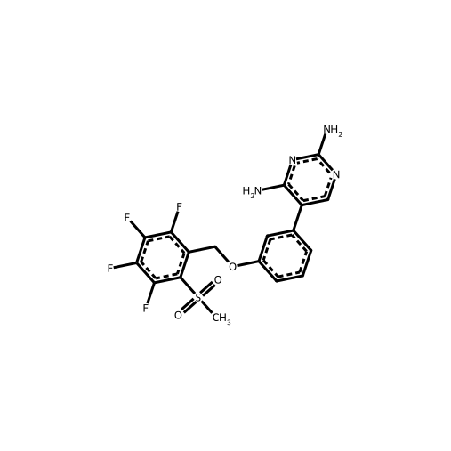 CS(=O)(=O)c1c(F)c(F)c(F)c(F)c1COc1cccc(-c2cnc(N)nc2N)c1